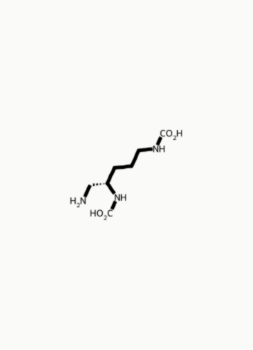 NC[C@H](CCCNC(=O)O)NC(=O)O